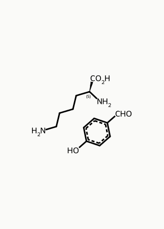 NCCCC[C@H](N)C(=O)O.O=Cc1ccc(O)cc1